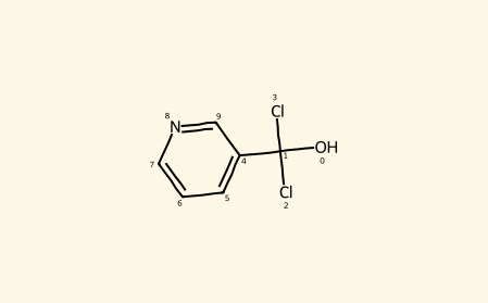 OC(Cl)(Cl)c1cccnc1